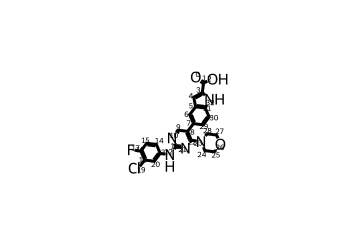 O=C(O)c1cc2cc(-c3cnc(Nc4ccc(F)c(Cl)c4)nc3N3CCOCC3)ccc2[nH]1